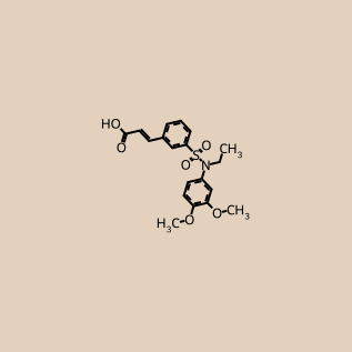 CCN(c1ccc(OC)c(OC)c1)S(=O)(=O)c1cccc(C=CC(=O)O)c1